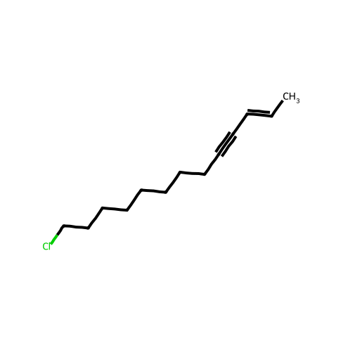 CC=CC#CCCCCCCCCCl